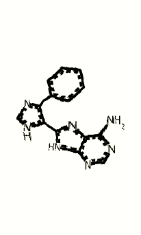 Nc1ncnc2[nH]c(-c3[nH]cnc3-c3ccccc3)nc12